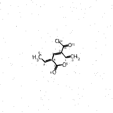 C=C/C(=C\C(=C/C)C(=O)Cl)C(=O)Cl